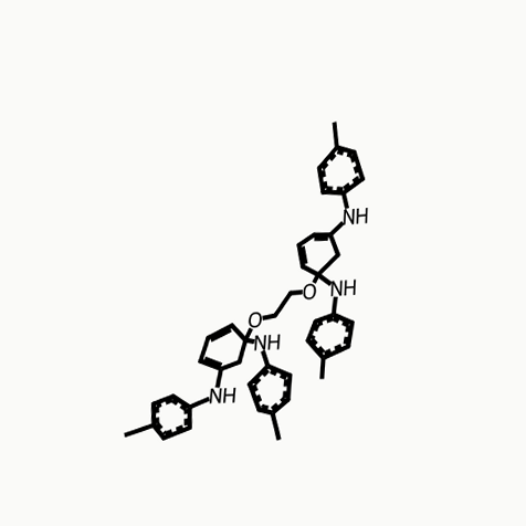 Cc1ccc(NC2=CC=CC(Nc3ccc(C)cc3)(OCCOC3(Nc4ccc(C)cc4)C=CC=C(Nc4ccc(C)cc4)C3)C2)cc1